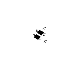 [C-]#N.[C-]#N.[K+].[K+]